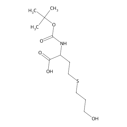 CC(C)(C)OC(=O)NC(CCSCCCO)C(=O)O